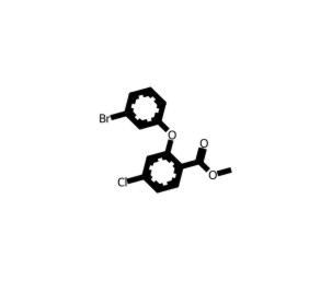 COC(=O)c1ccc(Cl)cc1Oc1cccc(Br)c1